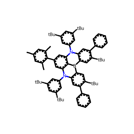 Cc1cc(C)c(-c2cc3c4c(c2)N(c2cc(C(C)(C)C)cc(C(C)(C)C)c2)c2cc(-c5ccccc5)c(C(C)(C)C)cc2B4c2cc(C(C)(C)C)c(-c4ccccc4)cc2N3c2cc(C(C)(C)C)cc(C(C)(C)C)c2)c(C)c1